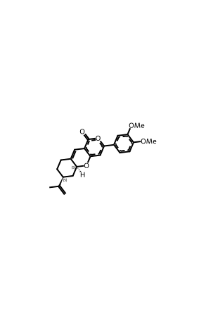 C=C(C)[C@H]1CCC2=Cc3c(cc(-c4ccc(OC)c(OC)c4)oc3=O)O[C@H]2C1